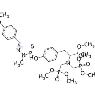 COc1ccc(/C=N/N(C)[PH](=S)Oc2ccc(CC(C(O)OC)N(CP(=O)(OC)OC)CP(=O)(OC)OC)cc2)cc1